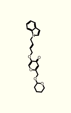 O=c1cc(COC2CCCCO2)occ1OCC=CCn1ccc2ccccc21